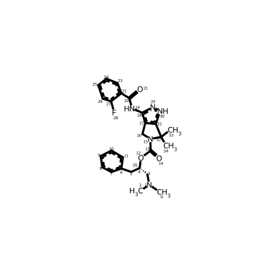 CN(C)C[C@H](Cc1ccccc1)OC(=O)N1Cc2c(NC(=O)c3ccccc3F)n[nH]c2C1(C)C